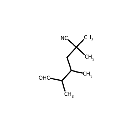 CC(C=O)C(C)CC(C)(C)C#N